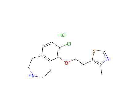 Cc1ncsc1CCOc1c(Cl)ccc2c1CCNCC2.Cl